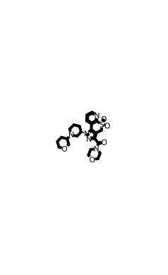 O=C(c1nn([C@H]2CCCN(C3CCCOC3)C2)c2c1CS(=O)(=O)c1ncccc1-2)N1CCOCC1